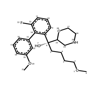 COCCCC[C@@](O)(c1cccc(F)c1-c1cccc(OC)c1)C1CNCCO1